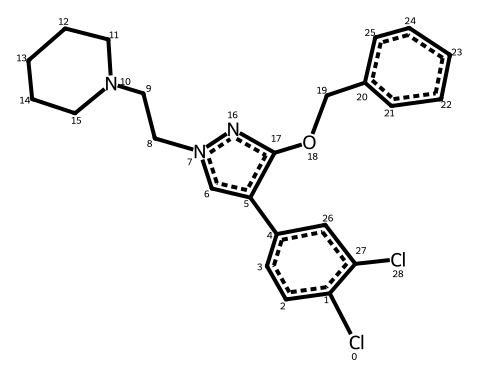 Clc1ccc(-c2cn(CCN3CCCCC3)nc2OCc2ccccc2)cc1Cl